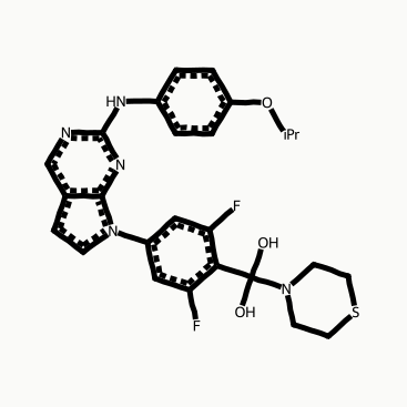 CC(C)Oc1ccc(Nc2ncc3ccn(-c4cc(F)c(C(O)(O)N5CCSCC5)c(F)c4)c3n2)cc1